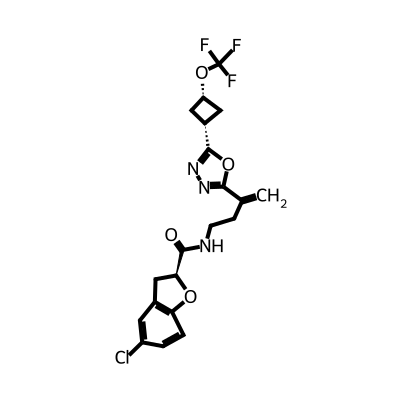 C=C(CCNC(=O)[C@@H]1Cc2cc(Cl)ccc2O1)c1nnc([C@H]2C[C@@H](OC(F)(F)F)C2)o1